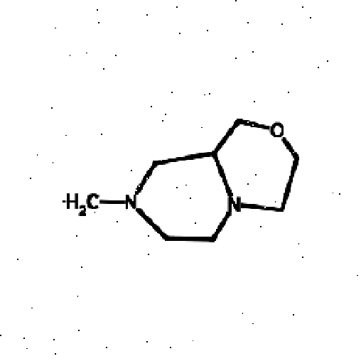 [CH2]N1CCN2CCOCC2C1